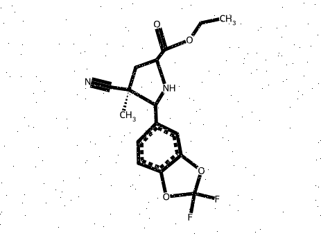 CCOC(=O)C1C[C@](C)(C#N)C(c2ccc3c(c2)OC(F)(F)O3)N1